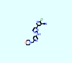 N#Cc1cc(-c2ccnc(Nc3ccc(CN4CCOCC4)nc3)n2)cnc1Cl